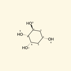 O[C@H]1C[C@H](O)C[C@H](O)[C@@H]1O